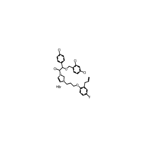 Br.C=CCc1cc(F)ccc1OCCCN1C=CN(C(Cl)C(OCc2ccc(Cl)cc2Cl)c2ccc(Cl)cc2)C1